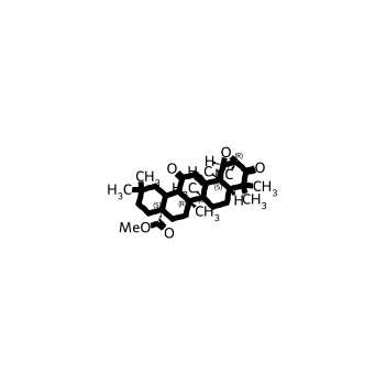 COC(=O)[C@]12CCC(C)(C)CC1C1C(=O)C=C3[C@@]4(C)[C@H]5O[C@@]5(C#N)C(=O)C(C)(C)[C@@H]4CC[C@@]3(C)[C@]1(C)CC2